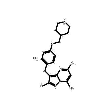 CCc1nn2c(C)cc(C)nc2c1Cc1ccc(OCC2CCNCC2)cc1.Cl